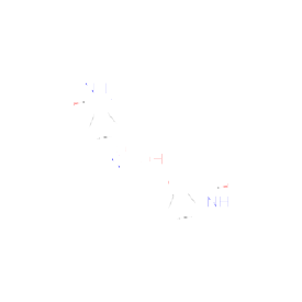 CCN(CC(O)COc1cccc2c1CCC(=O)N2)Oc1ccc(C(N)=O)cc1